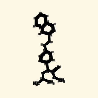 COC(=O)C(CC(C)C)c1ccc(OCc2ccc3ccccc3n2)cc1